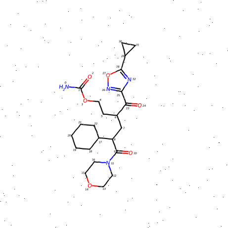 NC(=O)OCCC(CC(C(=O)N1CCOCC1)C1CCCCC1)C(=O)c1noc(C2CC2)n1